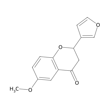 COc1ccc2c(c1)C(=O)CC(c1ccoc1)O2